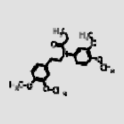 CCC(=O)N(CCc1ccc(OC)c(OC)c1)c1ccc(OC)c(OC)c1